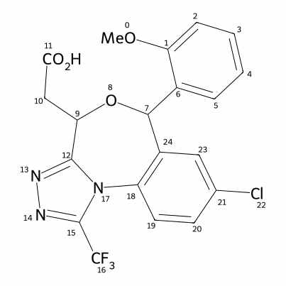 COc1ccccc1C1OC(CC(=O)O)c2nnc(C(F)(F)F)n2-c2ccc(Cl)cc21